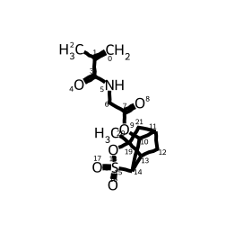 C=C(C)C(=O)NCC(=O)OC1C2CC3C1S(=O)(=O)OC3(C)C2